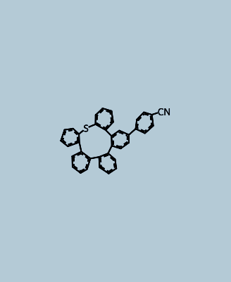 N#Cc1ccc(-c2ccc3c(c2)-c2ccccc2Sc2ccccc2-c2ccccc2-c2ccccc2-3)cc1